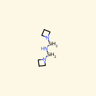 C1CN([SiH2]N[SiH2]N2CCC2)C1